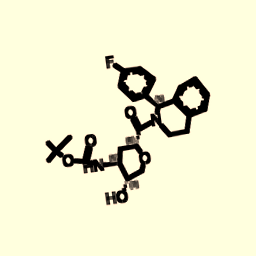 CC(C)(C)OC(=O)N[C@H]1C[C@H](C(=O)N2CCc3ccccc3[C@@H]2c2ccc(F)cc2)OC[C@@H]1O